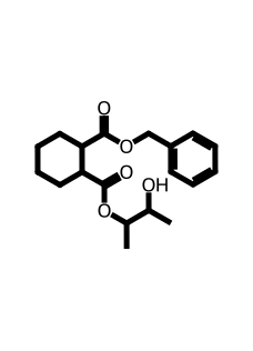 CC(O)C(C)OC(=O)C1CCCCC1C(=O)OCc1ccccc1